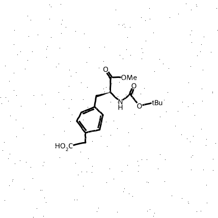 COC(=O)[C@H](Cc1ccc(CC(=O)O)cc1)NC(=O)OC(C)(C)C